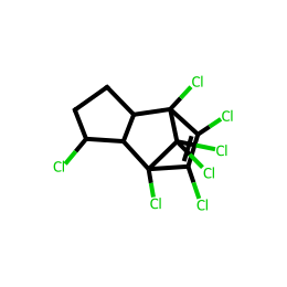 ClC1=C(Cl)C2(Cl)C3C(Cl)CCC3C1(Cl)C2(Cl)Cl